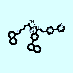 C=C(CC/C=C/c1cccc2ccccc12)C(=N)NC(/C=C/c1ccc(-c2cccnc2)cc1)c1ccc(-c2cccc3ccccc23)cc1